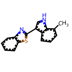 Cc1cccc2c(-c3nc4ccccc4s3)c[nH]c12